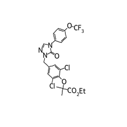 CCOC(=O)C(C)(C)Oc1c(Cl)cc(Cn2ncn(-c3ccc(OC(F)(F)F)cc3)c2=O)cc1Cl